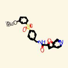 CC(C)COc1cccc(S(=O)(=O)c2ccc(CNC(=O)c3cc4ccncc4o3)cc2)c1